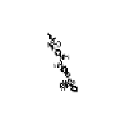 CCCC(C)n1ncn(-c2ccc(NCCNc3ccc(OC[C@@H]4CO[C@@](Cn5nccn5)(c5ccccc5)O4)cc3)cc2)c1=O